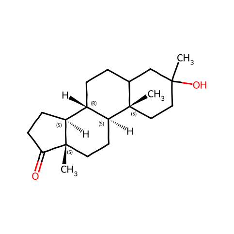 CC1(O)CC[C@@]2(C)C(CC[C@@H]3[C@@H]2CC[C@]2(C)C(=O)CC[C@@H]32)C1